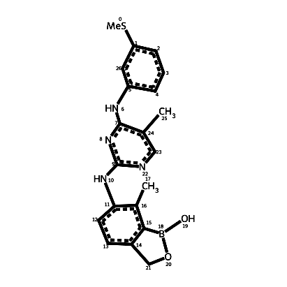 CSc1cccc(Nc2nc(Nc3ccc4c(c3C)B(O)OC4)ncc2C)c1